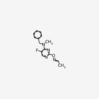 CC=NOc1ncc(F)c(N(C)Cc2ccccc2)n1